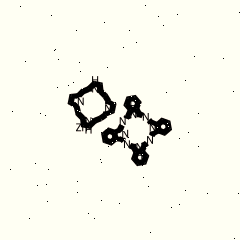 C1=Cc2cc3ccc(cc4nc(cc5ccc(cc1n2)[nH]5)C=C4)[nH]3.[Zn].c1ccc2c(c1)-c1nc-2nc2[nH]c(nc3nc(nc4[nH]c(n1)c1ccccc41)-c1ccccc1-3)c1ccccc21